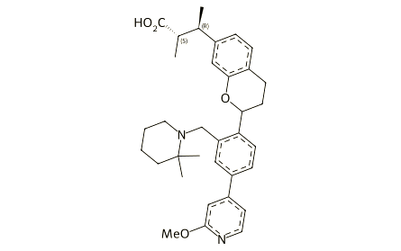 COc1cc(-c2ccc(C3CCc4ccc([C@H](C)[C@H](C)C(=O)O)cc4O3)c(CN3CCCCC3(C)C)c2)ccn1